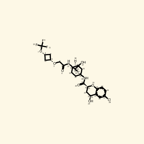 O=C(CO[C@H]1C[C@@H](OC(F)(F)F)C1)NC12CCC(NC(=O)[C@@H]3C[C@H](O)c4cc(Cl)ccc4O3)(CC1)C[C@@H]2O